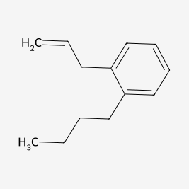 C=CCc1ccccc1CCCC